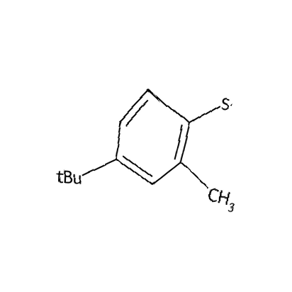 Cc1cc(C(C)(C)C)ccc1[S]